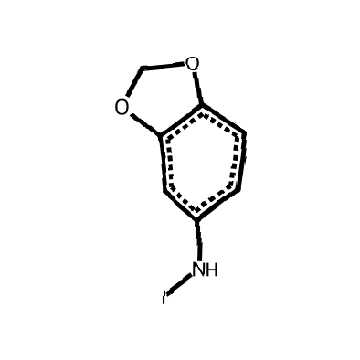 INc1ccc2c(c1)OCO2